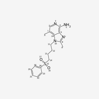 Cc1cnc(N)c2nc(C)n(CCCCS(=O)(=O)c3ccccc3)c12